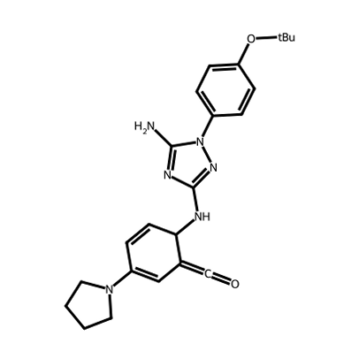 CC(C)(C)Oc1ccc(-n2nc(NC3C=CC(N4CCCC4)=CC3=C=O)nc2N)cc1